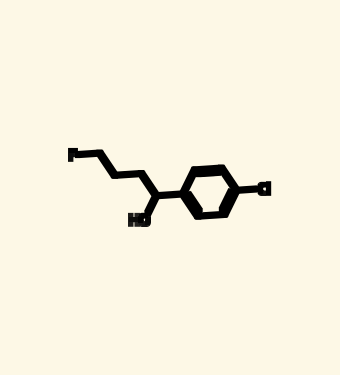 OC(CCCF)c1ccc(Cl)cc1